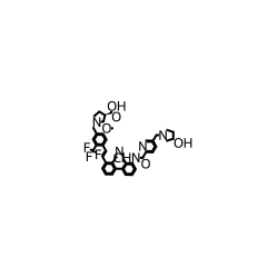 COc1cc(/C=C/c2cccc(-c3cccc(NC(=O)c4ccc(CN5CC[C@@H](O)C5)cn4)c3Cl)c2C#N)c(C(F)(F)F)cc1CN1CC[C@@H](C(=O)O)C1